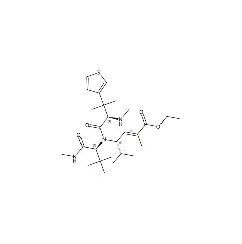 CCOC(=O)/C(C)=C/[C@H](C(C)C)N(C(=O)[C@H](NC)C(C)(C)c1ccsc1)[C@H](C(=O)NC)C(C)(C)C